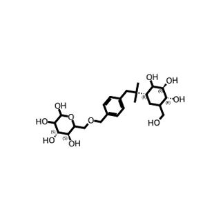 CC(C)(Cc1ccc(COCC2OC(O)C(O)[C@@H](O)[C@@H]2O)cc1)[C@H]1CC(CO)[C@@H](O)[C@H](O)C1O